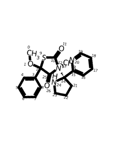 COC1(c2ccccc2)SC(=O)[N+](C)([C@]2(c3ccccn3)CCCN2)C1=O